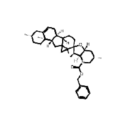 C[C@H]1CC[C@@]2(C)C(=CC[C@H]3[C@@H]4CC[C@]5(O[C@@H]6C[C@H](C)CN(C(=O)OCc7ccccc7)[C@H]6[C@H]5C)C5(C)CC45C[C@@H]32)C1